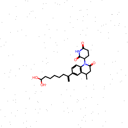 C=C(CCCCCC(O)O)c1ccc2c(c1)C(C)CC(=O)N2C1CCC(=O)NC1=O